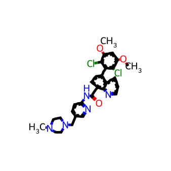 COc1cc(OC)c(Cl)c(-c2ccc(C(=O)Nc3ccc(CN4CCN(C)CC4)cn3)c3ncccc23)c1Cl